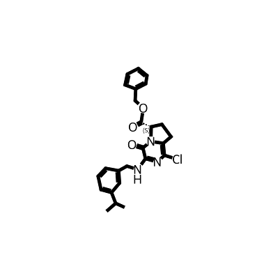 CC(C)c1cccc(CNc2nc(Cl)c3n(c2=O)[C@H](C(=O)OCc2ccccc2)CC3)c1